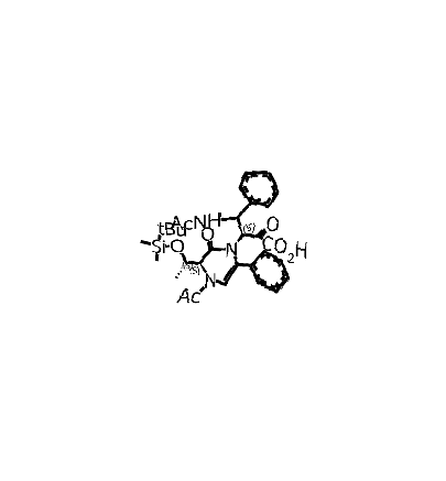 CC(=O)NC(c1ccccc1)[C@@H](C(=O)C(=O)O)N1C(=O)[C@H]([C@H](C)O[Si](C)(C)C(C)(C)C)N(C(C)=O)C=C1c1ccccc1